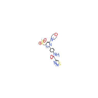 CS(=O)(=O)Cc1cc(N2CCOCC2)nc(-c2ccc(NC(=O)c3csnn3)cc2)n1